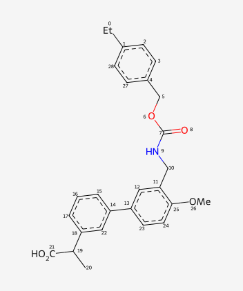 CCc1ccc(COC(=O)NCc2cc(-c3cccc(C(C)C(=O)O)c3)ccc2OC)cc1